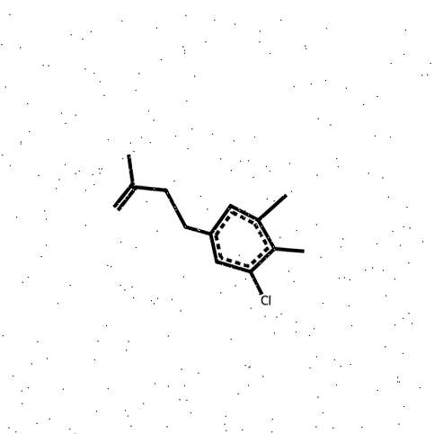 C=C(C)CCc1cc(C)c(C)c(Cl)c1